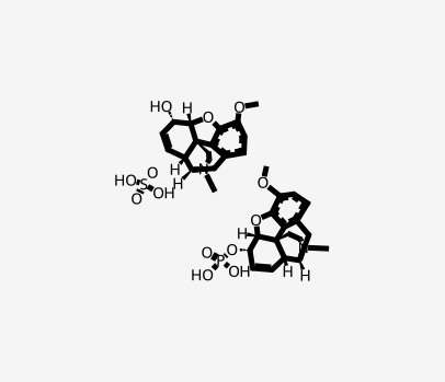 COc1ccc2c3c1O[C@H]1[C@@H](O)C=C[C@H]4[C@@H](C2)N(C)CC[C@@]341.COc1ccc2c3c1O[C@H]1[C@@H](OP(=O)(O)O)C=C[C@H]4[C@@H](C2)N(C)CC[C@@]341.O=S(=O)(O)O